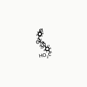 O=C(O)Cc1ccc(N2CCN(C(=O)C=Cc3ccc(Cl)cc3)CC2)cc1